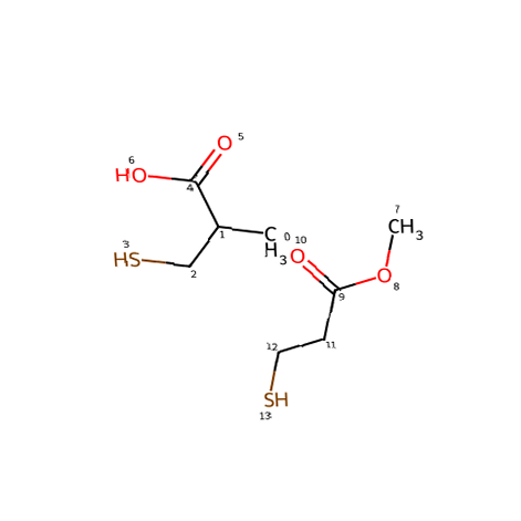 CC(CS)C(=O)O.COC(=O)CCS